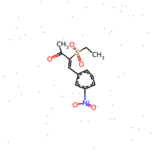 CCS(=O)(=O)C(=Cc1cccc([N+](=O)[O-])c1)C(C)=O